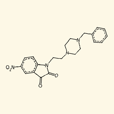 O=C1C(=O)N(CCN2CCN(Cc3ccccc3)CC2)c2ccc([N+](=O)[O-])cc21